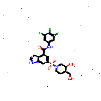 O=C(Nc1cc(F)c(F)c(F)c1)c1cc(S(=O)(=O)N2CCC(CO)C(O)C2)cc2[nH]ccc12